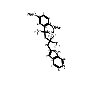 COc1ccc(OC)c(C(C)(C)CC(O)(Cc2cc3ccncc3[nH]2)C(F)(F)F)c1